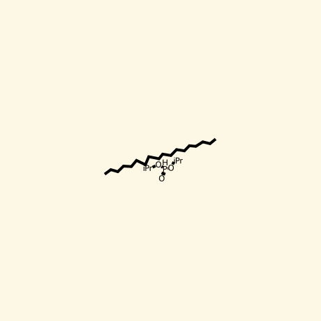 CC(C)O[PH](=O)OC(C)C.CCCCCCCCCCCCCCCCCC